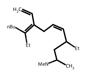 C=C/C(C/C=C\C(CC)CC(C)NC)=C(/CC)CCCC